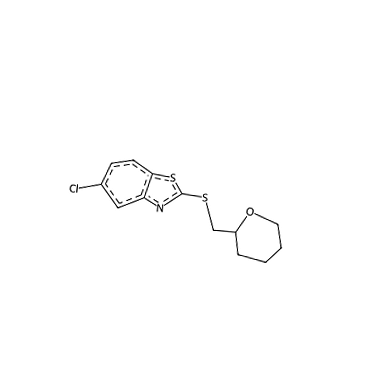 Clc1ccc2sc(SCC3CCCCO3)nc2c1